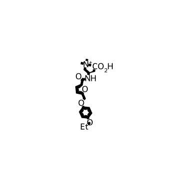 CCOc1ccc(OCc2ccc(C(=O)N[C@H](CC(=O)O)C[N+](C)(C)C)o2)cc1